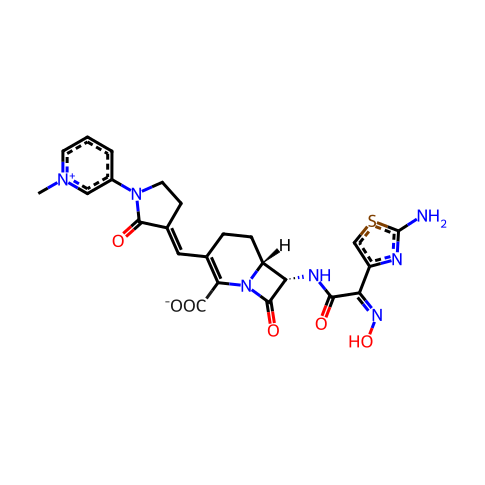 C[n+]1cccc(N2CC/C(=C\C3=C(C(=O)[O-])N4C(=O)[C@@H](NC(=O)/C(=N\O)c5csc(N)n5)[C@H]4CC3)C2=O)c1